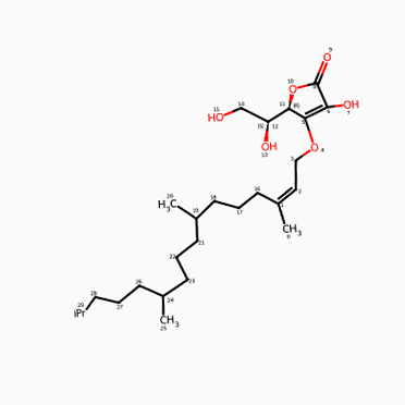 CC(=CCOC1=C(O)C(=O)O[C@@H]1[C@@H](O)CO)CCCC(C)CCCC(C)CCCC(C)C